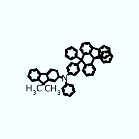 CC1(C)C2=CC(N(c3ccccc3)c3ccc(C4(c5ccccc5)c5ccccc5C5(c6ccccc6)c6ccccc6-c6cccc4c65)cc3)CC=C2c2ccccc21